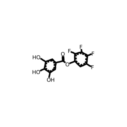 O=C(Oc1cc(F)c(F)c(F)c1F)c1cc(O)c(O)c(O)c1